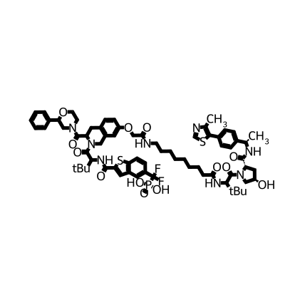 Cc1ncsc1-c1ccc([C@H](C)NC(=O)[C@@H]2C[C@@H](O)CN2C(=O)C(NC(=O)CCCCCCCCNC(=O)COc2ccc3c(c2)CN(C(=O)C(NC(=O)c2cc4cc(C(F)(F)P(=O)(O)O)ccc4s2)C(C)(C)C)C(C(=O)N2CCOC(c4ccccc4)C2)C3)C(C)(C)C)cc1